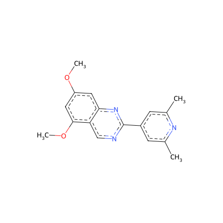 COc1cc(OC)c2cnc(-c3cc(C)nc(C)c3)nc2c1